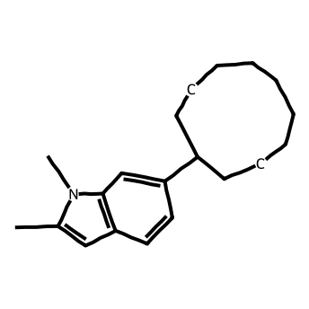 Cc1cc2ccc(C3CCCCCCCCC3)cc2n1C